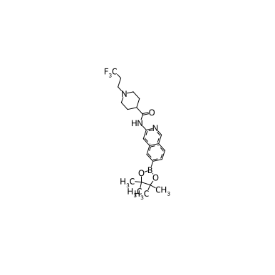 CC1(C)OB(c2ccc3cnc(NC(=O)C4CCN(CCC(F)(F)F)CC4)cc3c2)OC1(C)C